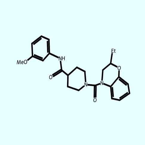 CCC1CN(C(=O)N2CCC(C(=O)Nc3cccc(OC)c3)CC2)c2ccccc2O1